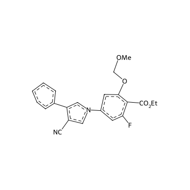 CCOC(=O)c1c(F)cc(-n2cc(C#N)c(-c3ccccc3)c2)cc1OCOC